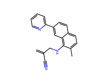 C=C(C#N)CNc1c(C)ccc2ccc(-c3ccccn3)cc12